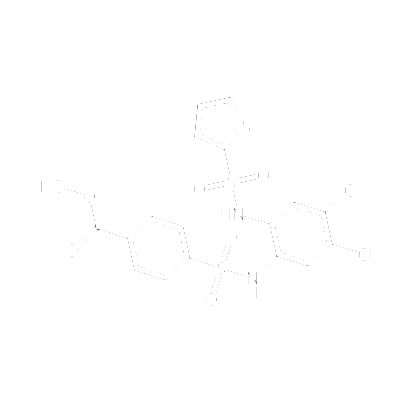 COC(=O)c1ccc(S(=O)(=O)Nc2cc(Cl)c(Cl)cc2NS(=O)(=O)c2cccs2)cc1